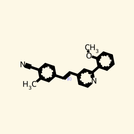 COc1ccccc1-c1cc(/C=C/c2ccc(C#N)c(C)c2)ccn1